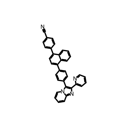 N#Cc1ccc(-c2ccc(-c3ccc(-c4c(-c5ccccn5)nc5ccccn45)cc3)c3ccccc23)cc1